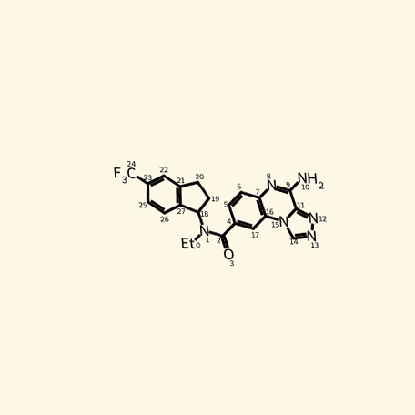 CCN(C(=O)c1ccc2nc(N)c3nncn3c2c1)C1CCc2cc(C(F)(F)F)ccc21